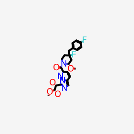 COC(=O)C(=O)c1ncc2cc(OC)c(C(=O)N3CCC(F)(Cc4ccc(F)cc4)CC3)nn12